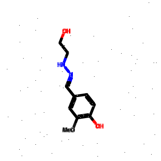 COc1cc(C=NNCCO)ccc1O